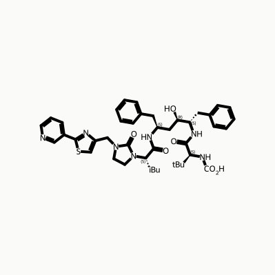 CCC(C)[C@@H](C(=O)N[C@@H](Cc1ccccc1)C[C@@H](O)[C@H](Cc1ccccc1)NC(=O)[C@@H](NC(=O)O)C(C)(C)C)N1CCN(Cc2csc(-c3cccnc3)n2)C1=O